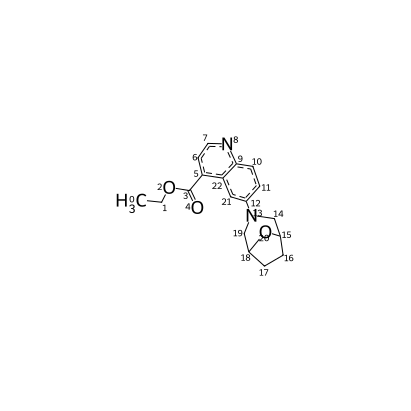 CCOC(=O)c1ccnc2ccc(N3CC4CCC(C3)O4)cc12